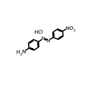 Cl.Nc1ccc(N=Nc2ccc([N+](=O)[O-])cc2)cc1